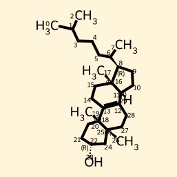 CC(C)CCCC(C)[C@H]1CC[C@H]2C3=C(CC[C@]12C)[C@@]1(C)CC[C@@H](O)C[C@@]1(C)CC3